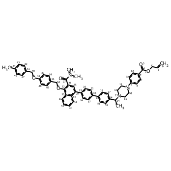 C=CCOC(=O)c1ccc(N2CCN(C(C)c3ccc(-c4ccc(-c5cc(C(=O)N(C)C)c(OCc6ccc(OCc7ccc(C)cc7)cc6)c6ccccc56)cc4)cc3)CC2)cc1